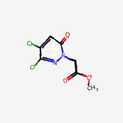 COC(=O)Cn1nc(Cl)c(Cl)cc1=O